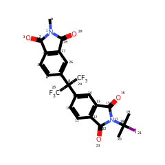 CN1C(=O)c2ccc(C(c3ccc4c(c3)C(=O)N(C(C)(C)I)C4=O)(C(F)(F)F)C(F)(F)F)cc2C1=O